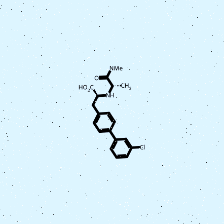 CNC(=O)[C@H](C)N[C@@H](Cc1ccc(-c2cccc(Cl)c2)cc1)C(=O)O